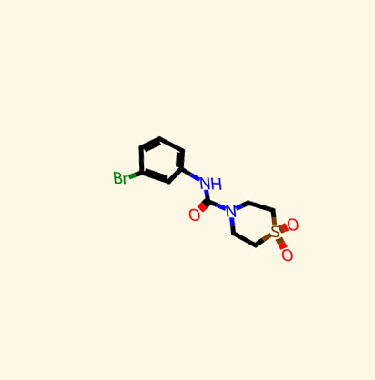 O=C(Nc1cccc(Br)c1)N1CCS(=O)(=O)CC1